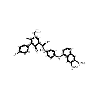 COc1cc2nccc(Oc3ccc(NC(=O)c4cn(CC(F)(F)F)c(C)c(-c5ccc(F)cc5)c4=O)cc3)c2cc1OC